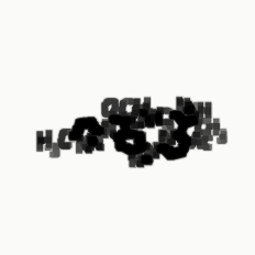 CC(=O)c1ccc(-n2cnc3cc4c(cc32)C(C)(C)C(=O)N4c2ccc(C)nn2)nc1-c1c(C#N)n[nH]c1C